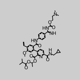 C=Cc1cc(C(=O)Nc2ccc(C(=N)NC(=O)OCCN(C)C)cc2)c(-c2ccc(C(=O)NCC3CC3)nc2C(=O)OC(C)OC(=O)C(C)C)cc1OC